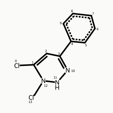 ClC1=CC(c2ccccc2)=NNN1Cl